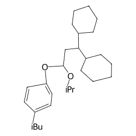 CCC(C)c1ccc(OC(CC(C2CCCCC2)C2CCCCC2)OC(C)C)cc1